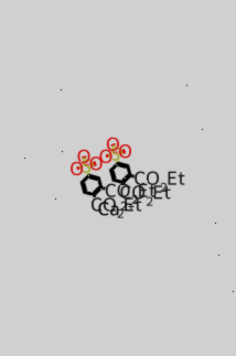 CCOC(=O)c1ccc(S(=O)(=O)[O-])cc1C(=O)OCC.CCOC(=O)c1ccc(S(=O)(=O)[O-])cc1C(=O)OCC.[Ca+2]